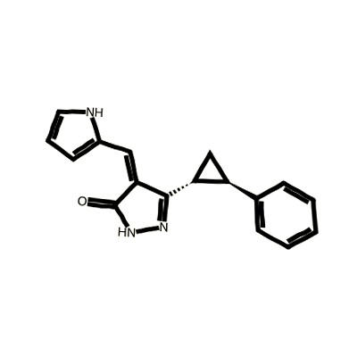 O=C1NN=C([C@@H]2C[C@H]2c2ccccc2)C1=Cc1ccc[nH]1